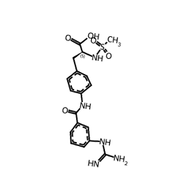 CS(=O)(=O)N[C@@H](Cc1ccc(NC(=O)c2cccc(NC(=N)N)c2)cc1)C(=O)O